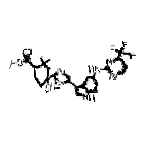 CC1(C)CC(O)(c2ncc(-c3c[nH]c4ccc(Nc5nccc(C(F)(F)F)n5)cc34)s2)CCC1C(=O)O